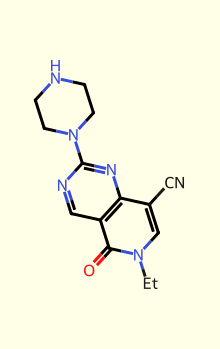 CCn1cc(C#N)c2nc(N3CCNCC3)ncc2c1=O